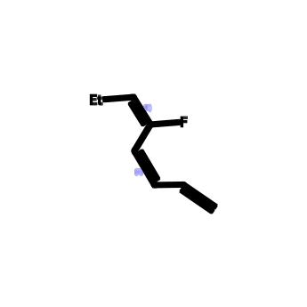 C=C/C=C\C(F)=C/CC